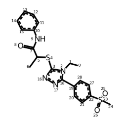 CCn1c(SC(C)C(=O)Nc2ccccc2)nnc1-c1ccc(S(C)(=O)=O)cc1